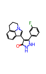 O=c1[nH][nH]c(-c2cccc(F)c2)c1-c1cn2c3c(cccc13)CCC2